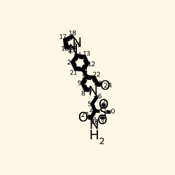 CS(=O)(=O)C(CCn1ccc(-c2ccc(-n3cccn3)cc2)cc1=O)C(N)=O